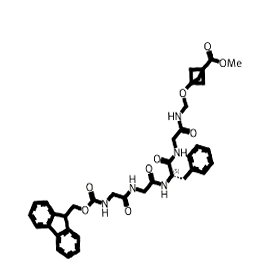 COC(=O)C12CC(OCNC(=O)CNC(=O)[C@H](Cc3ccccc3)NC(=O)CNC(=O)CNC(=O)OCC3c4ccccc4-c4ccccc43)(C1)C2